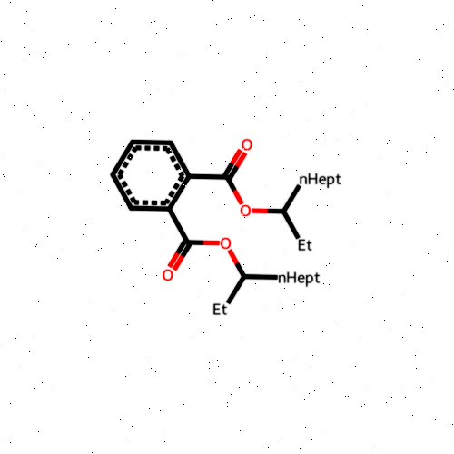 CCCCCCCC(CC)OC(=O)c1ccccc1C(=O)OC(CC)CCCCCCC